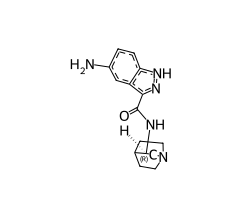 Nc1ccc2[nH]nc(C(=O)N[C@H]3CN4CCC3CC4)c2c1